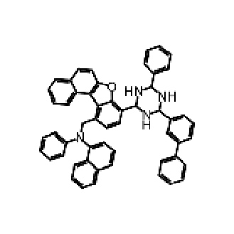 c1ccc(-c2cccc(C3NC(c4ccccc4)NC(c4ccc(CN(c5ccccc5)c5cccc6ccccc56)c5c4oc4ccc6ccccc6c45)N3)c2)cc1